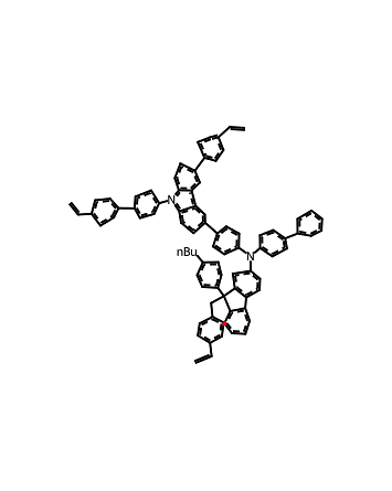 C=Cc1ccc(CC2(c3ccc(CCCC)cc3)c3ccccc3-c3ccc(N(c4ccc(-c5ccccc5)cc4)c4ccc(-c5ccc6c(c5)c5cc(-c7ccc(C=C)cc7)ccc5n6-c5ccc(-c6ccc(C=C)cc6)cc5)cc4)cc32)cc1